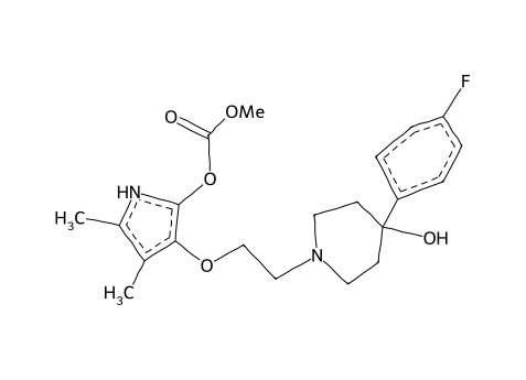 COC(=O)Oc1[nH]c(C)c(C)c1OCCN1CCC(O)(c2ccc(F)cc2)CC1